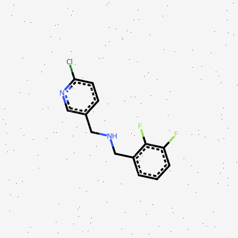 Fc1cccc(CNCc2ccc(Cl)nc2)c1F